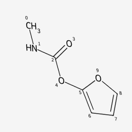 CNC(=O)Oc1ccco1